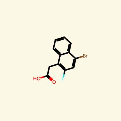 O=C(O)Cc1c(F)cc(Br)c2ccccc12